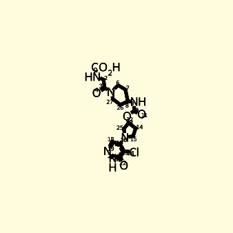 O=C(O)NCC(=O)N1CCC(NC(=O)OC2CCN(c3cn[nH]c(=O)c3Cl)C2)CC1